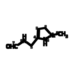 CN1CC=C(CNC=O)N1